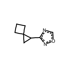 c1nc(C2CC23CCC3)no1